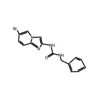 O=C(NCc1ccccc1)Nc1cn2cc(Br)ccc2n1